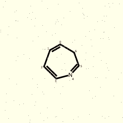 [C]1=CC=CN=[C]C1